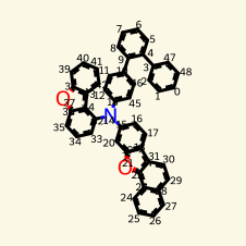 c1ccc(-c2ccccc2-c2ccc(N(c3ccc4c(c3)oc3c5ccccc5ccc43)c3cccc4oc5ccccc5c34)cc2)cc1